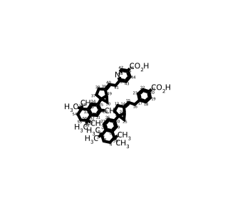 CC1(C)CCC(C)(C)c2cc(C34CC/C(=C/Cc5ccc(C(=O)O)cc5)C3C4)ccc21.Cc1cc2c(cc1C13CC/C(=C/Cc4ccc(C(=O)O)cn4)C1C3)C(C)(C)CCC2(C)C